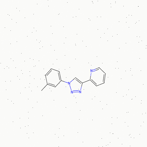 Cc1[c]ccc(-n2cc(-c3ccccn3)nn2)c1